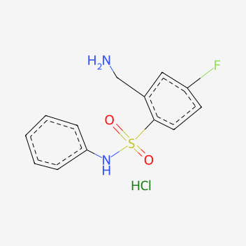 Cl.NCc1cc(F)ccc1S(=O)(=O)Nc1ccccc1